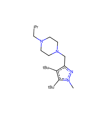 CC(C)CN1CCN(Cc2nn(C)c(C(C)(C)C)c2C(C)(C)C)CC1